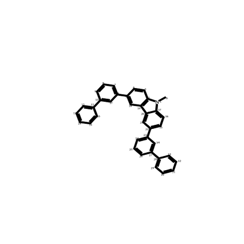 Cn1c2ccc(-c3cccc(-c4ccccc4)c3)cc2c2cc(-c3cccc(-c4ccccc4)c3)ccc21